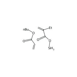 C=C(CC)C(=O)O[SiH3].C=CC(=O)OCCCC